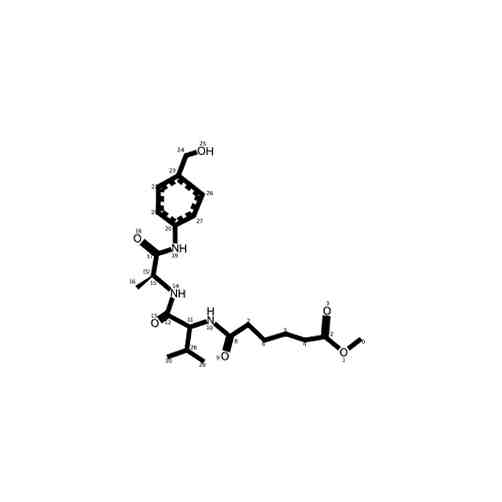 COC(=O)CCCCC(=O)NC(C(=O)N[C@@H](C)C(=O)Nc1ccc(CO)cc1)C(C)C